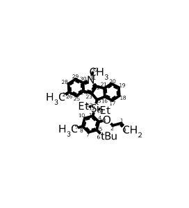 C=CCOc1c(C(C)(C)C)cc(C)cc1[Si](CC)(CC)C1c2ccccc2-c2c1c1cc(C)ccc1n2C